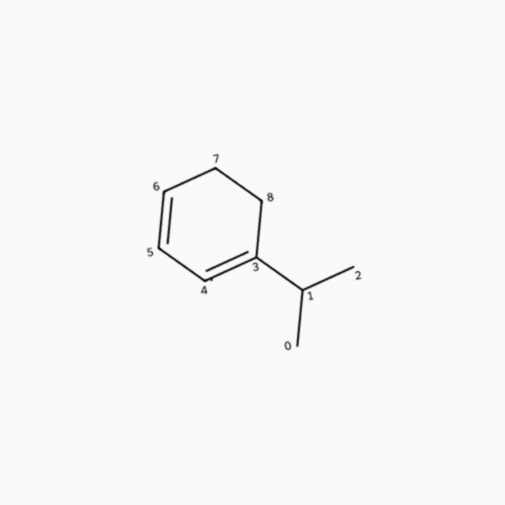 CC(C)C1=[C]C=CCC1